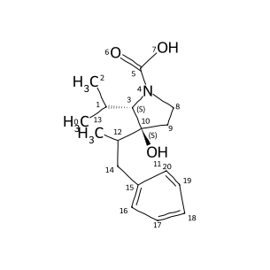 CC(C)[C@@H]1N(C(=O)O)CC[C@]1(O)C(C)Cc1ccccc1